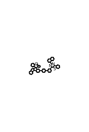 c1cc(-c2ccc(-c3ccc4c(c3)C3(c5ccccc5Oc5ccccc53)c3ccc5ccccc5c3-4)cc2)cc(-c2nc(-c3cccc4ccccc34)nc3c2sc2ccccc23)c1